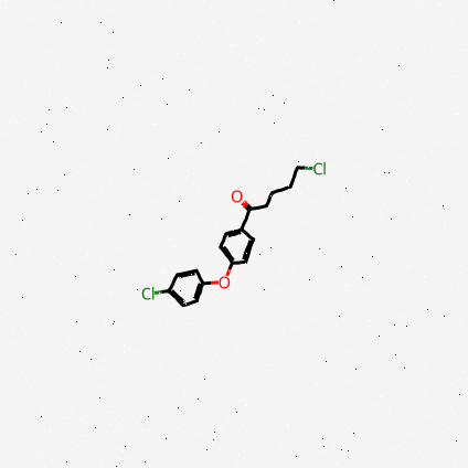 O=C(CCCCCl)c1ccc(Oc2ccc(Cl)cc2)cc1